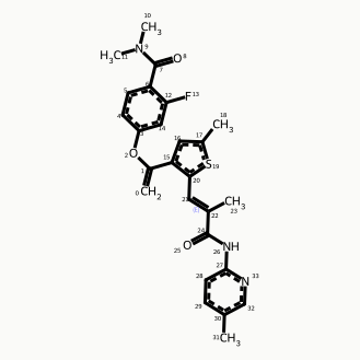 C=C(Oc1ccc(C(=O)N(C)C)c(F)c1)c1cc(C)sc1/C=C(\C)C(=O)Nc1ccc(C)cn1